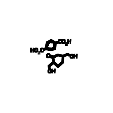 O=C(O)c1ccc(C(=O)O)cc1.O=C1CC(CO)CCC1CO